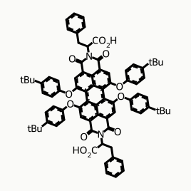 CC(C)(C)c1ccc(Oc2cc3c4c(cc(Oc5ccc(C(C)(C)C)cc5)c5c6c(Oc7ccc(C(C)(C)C)cc7)cc7c8c(cc(Oc9ccc(C(C)(C)C)cc9)c(c2c45)c86)C(=O)N(C(Cc2ccccc2)C(=O)O)C7=O)C(=O)N(C(Cc2ccccc2)C(=O)O)C3=O)cc1